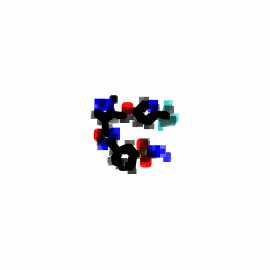 Cn1ncc(-c2nc(-c3cccc(S(N)(=O)=O)c3)no2)c1COc1ccc(C(F)(F)F)nc1